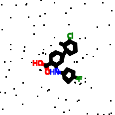 Cc1c(Cl)cccc1-c1ccc(C(=O)O)c(Nc2ccc(F)cc2)c1